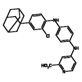 O=C(O)c1cc(Nc2ccc(Nc3ccc(C45CC6CC(CC(C6)C4)C5)cc3Cl)cc2)ccn1